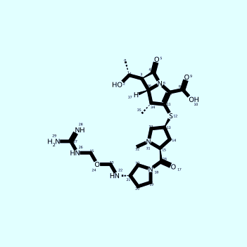 C[C@@H](O)[C@H]1C(=O)N2C(C(=O)O)=C(S[C@H]3C[C@@H](C(=O)N4CC[C@H](NCOCNC(=N)N)C4)N(C)C3)[C@H](C)[C@H]12